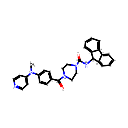 CN(c1ccncc1)c1ccc(C(=O)N2CCN(C(=O)NC3c4ccccc4-c4ccccc43)CC2)cc1